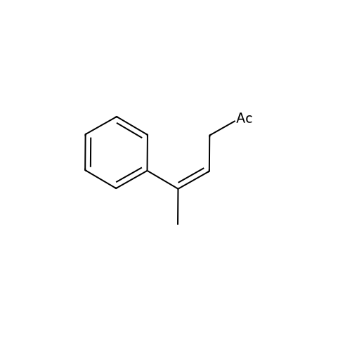 CC(=O)C/C=C(/C)c1ccccc1